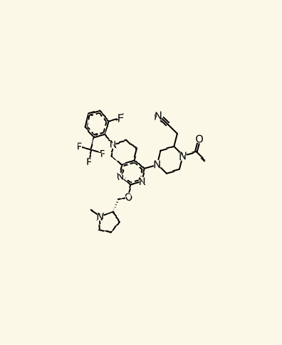 CC(=O)N1CCN(c2nc(OC[C@@H]3CCCN3C)nc3c2CCN(c2c(F)cccc2C(F)(F)F)C3)CC1CC#N